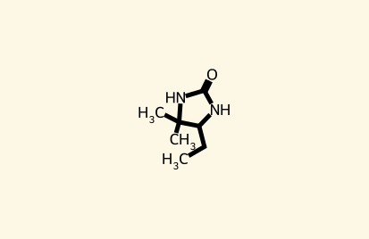 CCC1NC(=O)NC1(C)C